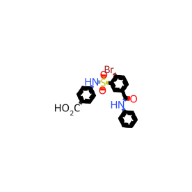 O=C(O)c1ccc(NS(=O)(=O)c2cc(C(=O)Nc3ccccc3)ccc2Br)cc1